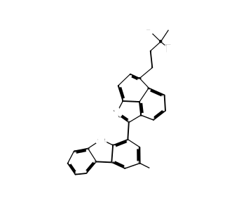 Cc1cc(C2=Nc3ccc(CCC(C)(F)F)c4cccc2c34)c2oc3ccccc3c2c1